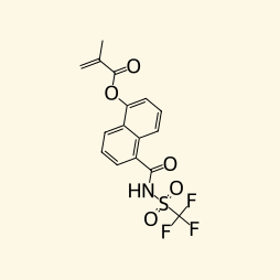 C=C(C)C(=O)Oc1cccc2c(C(=O)NS(=O)(=O)C(F)(F)F)cccc12